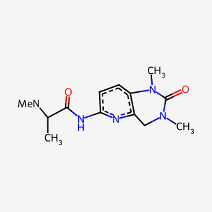 CNC(C)C(=O)Nc1ccc2c(n1)CN(C)C(=O)N2C